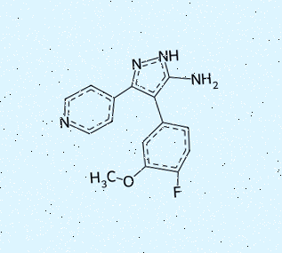 COc1cc(-c2c(-c3ccncc3)n[nH]c2N)ccc1F